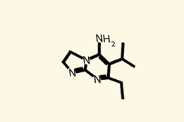 CCC1=NC2=NCCN2C(N)=C1C(C)C